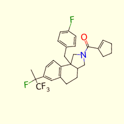 CC(F)(c1ccc2c(c1)CCC1CN(C(=O)C3=CCCC3)CC21Cc1ccc(F)cc1)C(F)(F)F